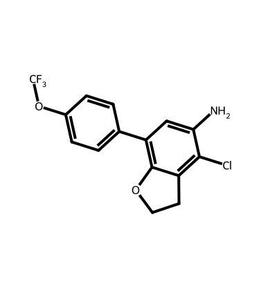 Nc1cc(-c2ccc(OC(F)(F)F)cc2)c2c(c1Cl)CCO2